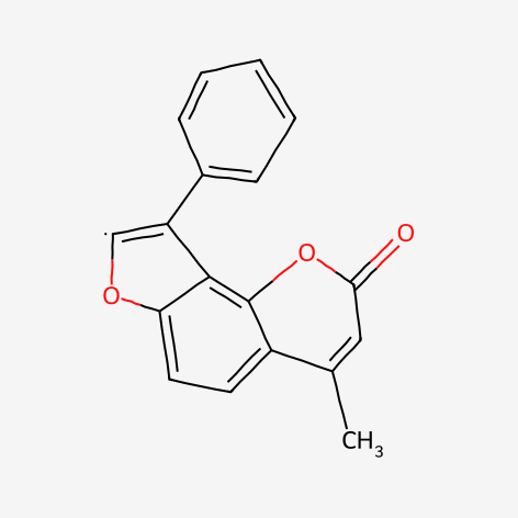 Cc1cc(=O)oc2c1ccc1o[c]c(-c3ccccc3)c12